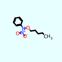 CCCCCON(c1ccccc1)[N+](=O)[O-]